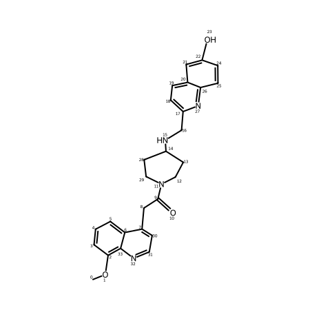 COc1cccc2c(CC(=O)N3CCC(NCc4ccc5cc(O)ccc5n4)CC3)ccnc12